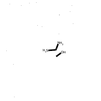 CO.NC[SiH3]